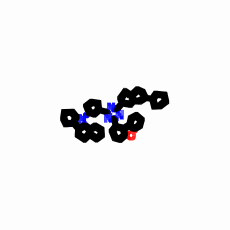 c1ccc(-c2ccc3ccc(-c4nc(-c5cccc(-n6c7ccccc7c7ccc8ccccc8c76)c5)nc(-c5cccc6oc7ccccc7c56)n4)cc3c2)cc1